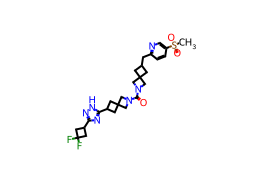 CS(=O)(=O)c1ccc(CC2CC3(C2)CN(C(=O)N2CC4(CC(c5nc(C6CC(F)(F)C6)n[nH]5)C4)C2)C3)nc1